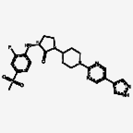 CS(=O)(=O)c1ccc(N[C@H]2CCN(C3CCN(c4ncc(-c5cn[nH]c5)cn4)CC3)C2=O)c(F)c1